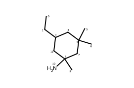 CCC1CC(C)(C)CC(C)(N)C1